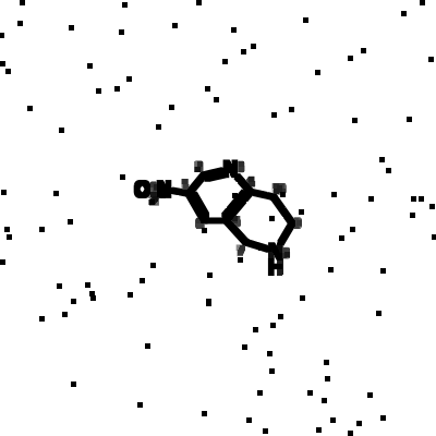 O=[N+]([O-])c1cnc2c(c1)CNCC2